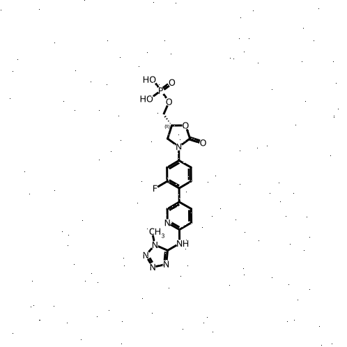 Cn1nnnc1Nc1ccc(-c2ccc(N3C[C@H](COP(=O)(O)O)OC3=O)cc2F)cn1